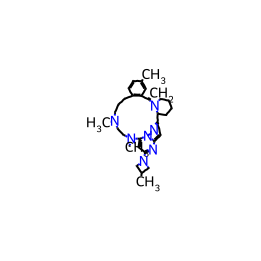 C=C1c2cc(C)ccc2CCCN(C)CCN(C)c2cc(N3CC(C)C3)nc3cc(nn23)C2CCCCN12